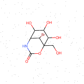 O=C1NC2C(O)C(O)C(O)C(CO)(O1)C2Br